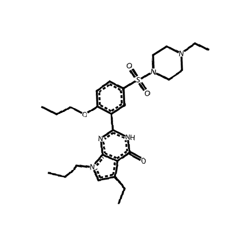 CCCOc1ccc(S(=O)(=O)N2CCN(CC)CC2)cc1-c1nc2c(c(CC)cn2CCC)c(=O)[nH]1